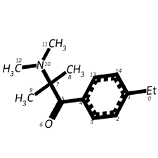 CCc1ccc(C(=O)C(C)(C)N(C)C)cc1